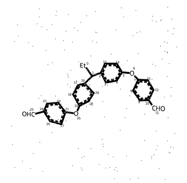 CCC(c1ccc(Oc2ccc(C=O)cc2)cc1)c1ccc(Oc2ccc(C=O)cc2)cc1